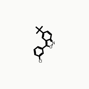 CC(C)(C)c1ccc2noc(-c3cccc(Cl)c3)c2c1